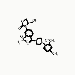 Cc1ccc([N+]2([O-])CCN(C(=O)c3ccc(N4C(=O)OC[C@H]4CO)cc3S(C)(=O)=O)CC2)c(C)c1